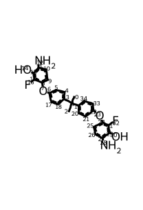 CC(C)(c1ccc(Oc2ccc(N)c(O)c2F)cc1)c1ccc(Oc2ccc(N)c(O)c2F)cc1